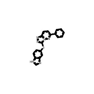 c1ccc(-c2ccc3nnc(Sc4ccc5[nH]cnc5c4)n3n2)cc1